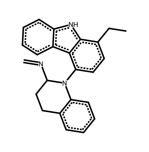 C=NC1CCc2ccccc2N1c1ccc(CC)c2[nH]c3ccccc3c12